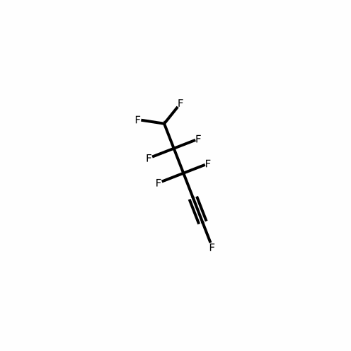 FC#CC(F)(F)C(F)(F)[C](F)F